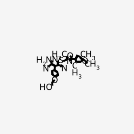 COc1cc(C)c(-c2nc(CSc3nc(N)c(C#N)c(-c4ccc(OCCO)cc4)c3C#N)c(C)o2)cc1C